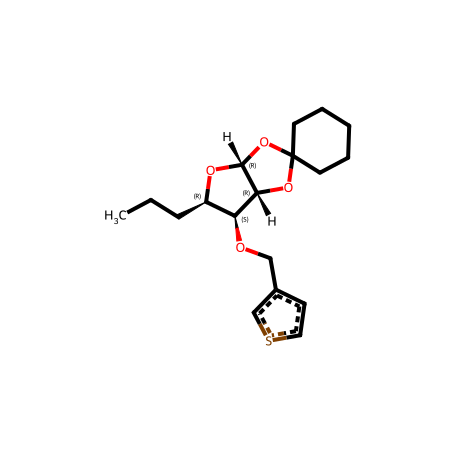 CCC[C@H]1O[C@@H]2OC3(CCCCC3)O[C@@H]2[C@H]1OCc1ccsc1